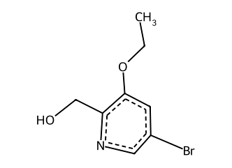 CCOc1cc(Br)cnc1CO